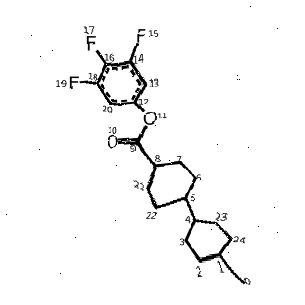 CC1CCC(C2CCC(C(=O)Oc3cc(F)c(F)c(F)c3)CC2)CC1